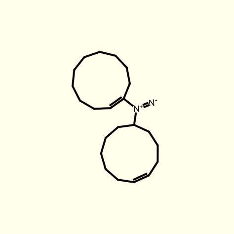 [N-]=[N+](C1=CCCCCCCCCC1)C1CCCC=CCCCCC1